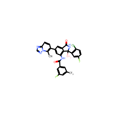 BC1(c2cc(F)ccc2Cl)NC(=O)c2cc(-c3ccc4ncnn4c3C#N)cc(NC(=O)c3cc(F)cc(C(F)(F)F)c3)c21